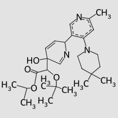 Cc1cc(N2CCC(C)(C)CC2)c(C2C=CC(O)(C(OC(C)(C)C)C(=O)OC(C)C)C=N2)cn1